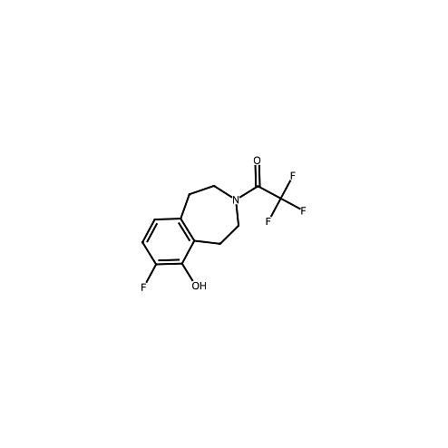 O=C(N1CCc2ccc(F)c(O)c2CC1)C(F)(F)F